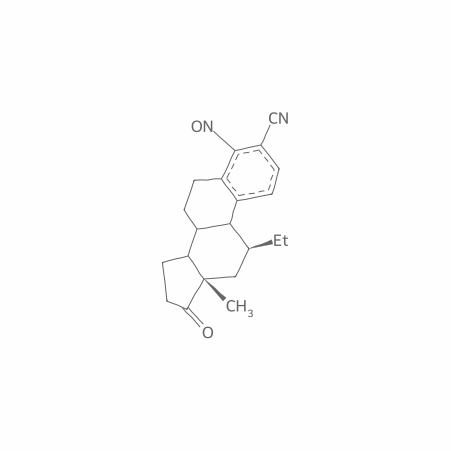 CC[C@H]1C[C@]2(C)C(=O)CCC2C2CCc3c(ccc(C#N)c3N=O)C21